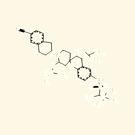 CC([Si](C)(C)C)S(=O)(=O)Nc1ccc2c(c1)[C@@H](C(C)(C)C)CC1(CCN([C@@H]3CCc4cc(C#N)ccc4C3)C(O[SiH](C)C)C1)O2